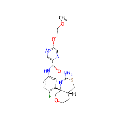 COCCOc1cnc(C(=O)Nc2ccc(F)c([C@]34COCC[C@H]3CSC(N)=N4)c2)cn1